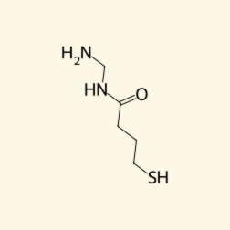 NCNC(=O)CCCS